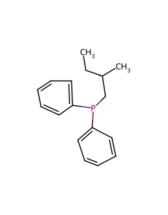 CC[C](C)CP(c1ccccc1)c1ccccc1